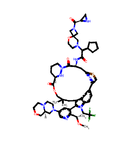 CO[C@@H](C)c1ncc(N2CCN3CCOC[C@@H]3C2)cc1-c1c2c3cc(ccc3n1CC(F)(F)F)-c1csc(n1)C[C@H](NC(=O)C(C1CCCC1)N1CCOC3(CN(C(=O)[C@H]4CN4)C3)C1)C(=O)N1CCC[C@H](N1)C(=O)OCC(C)(C)C2